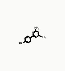 CC(C)(C)c1ccc(-c2nc(N)cc(N)n2)cc1